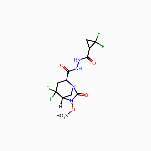 O=C(NNC(=O)[C@@H]1CC(F)(F)[C@@H]2CN1C(=O)N2OS(=O)(=O)O)C1CC1(F)F